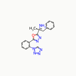 C[C@@](N)(Cc1ccccc1)c1nnc(-c2ccccc2-n2cnnn2)o1